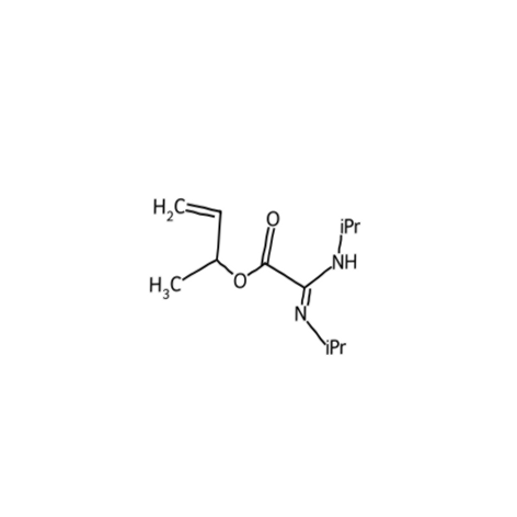 C=CC(C)OC(=O)C(=NC(C)C)NC(C)C